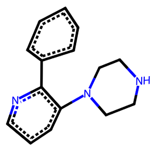 c1ccc(-c2ncccc2N2CCNCC2)cc1